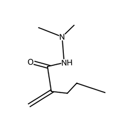 C=C(CCC)C(=O)NN(C)C